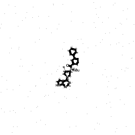 CCCCN(C(=O)c1cccc(-c2ccccc2)c1)C1CN(c2ncnc3[nH]ccc23)C[C@@H]1C